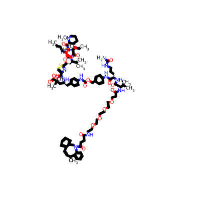 CCCCCON(C(=O)[C@@H](NC(=O)[C@H]1CCCCN1C)[C@@H](C)CC)[C@H](C[C@@H](OC(=O)NC)c1nc(C(=O)N[C@@H](Cc2ccc(NC(=O)OCc3ccc(NC(=O)[C@H](CCCNC(N)=O)NC(=O)[C@@H](NC(=O)CCOCCOCCOCCOCCNC(=O)CCC(=O)N4Cc5ccccc5/C=C\C(C)c5ccccc54)C(C)C)cc3)cc2)CC(C)(C)C(=O)O)cs1)C(C)C